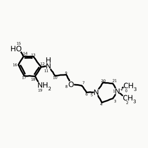 C[N+]1(C)CCN(CCOCCNc2cc(O)ccc2N)CC1